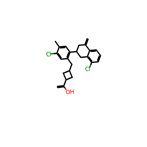 C=C1CC(c2cc(C)c(Cl)cc2CC2CC(C(=C)O)C2)Cc2c(Cl)cccc21